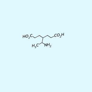 CC(N)C(CCC(=O)O)CCC(=O)O